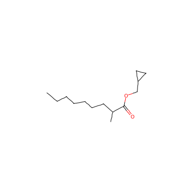 CCCCCCCC(C)C(=O)OCC1CC1